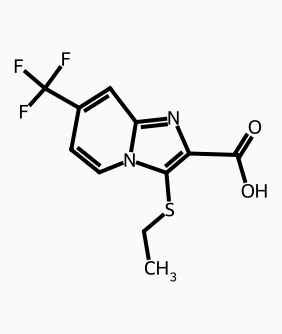 CCSc1c(C(=O)O)nc2cc(C(F)(F)F)ccn12